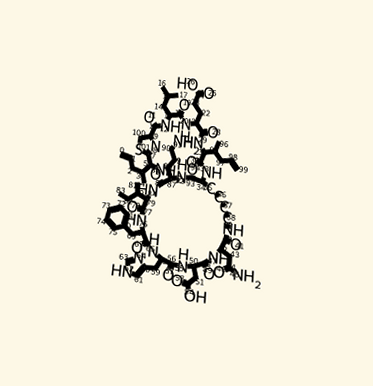 C=CCC(C)C(N)C1=NC(C(=O)NC(CC(C)C)C(=O)NC(CCC(=O)O)C(=O)NC(C(=O)NC2CCCCNC(=O)C(CC(N)=O)NC(=O)C(CC(=O)O)NC(=O)C(Cc3c[nH]cn3)NC(=O)C(Cc3ccccc3)NC(=O)C(C(C)CC)NC(=O)C(CCCN)NC2=O)C(C)CC=C)CS1